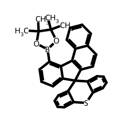 CC1(C)OB(c2cccc3c2-c2c(ccc4ccccc24)C32c3ccccc3Sc3ccccc32)OC1(C)C